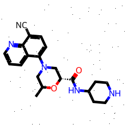 CC1CN(c2ccc(C#N)c3ncccc23)C[C@H](C(=O)NC2CCNCC2)O1